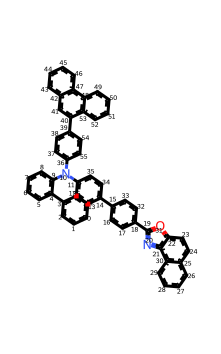 c1ccc(-c2ccccc2N(c2ccc(-c3ccc(-c4nc5c(ccc6ccccc65)o4)cc3)cc2)c2ccc(-c3cc4ccccc4c4ccccc34)cc2)cc1